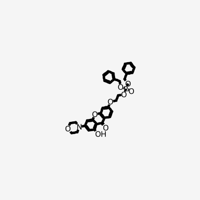 O=c1c2ccc(OCCOP(=O)(OCc3ccccc3)OCc3ccccc3)cc2oc2cc(N3CCOCC3)cc(O)c12